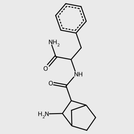 NC(=O)C(Cc1ccccc1)NC(=O)C1C2CCC(C2)C1N